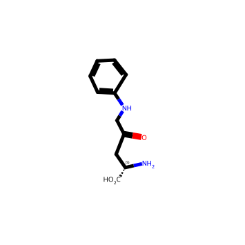 N[C@@H](CC(=O)CNc1ccccc1)C(=O)O